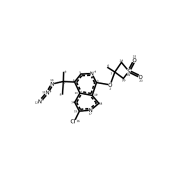 CC1(Oc2ncc(C(C)(C)N=[N+]=[N-])c3cc(Cl)ncc23)CS(=O)(=O)C1